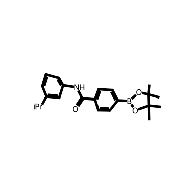 CC(C)c1cccc(NC(=O)c2ccc(B3OC(C)(C)C(C)(C)O3)cc2)c1